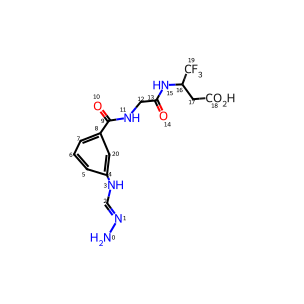 NN=CNc1cccc(C(=O)NCC(=O)NC(CC(=O)O)C(F)(F)F)c1